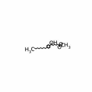 CCCCCCCCCc1ccc(C(O)CCCCC(=O)OC)cc1